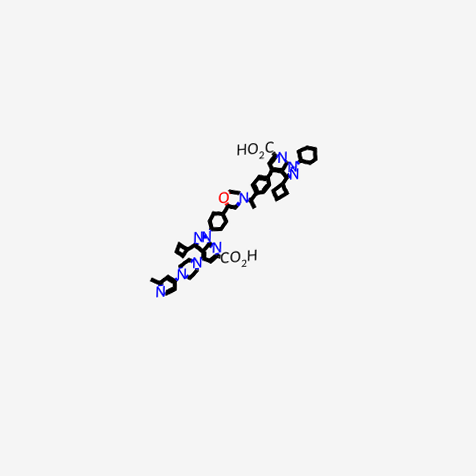 Cc1cc(N2CCN(c3cc(C(=O)O)nc4c3c(C3CCC3)nn4C3CCC(C4CN(C(C)c5ccc(-c6cc(C(=O)O)nc7c6c(C6CCC6)nn7C6CCCCC6)cc5)CCO4)CC3)CC2)ccn1